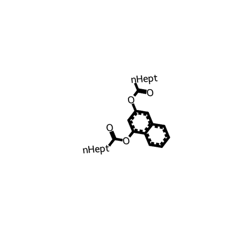 CCCCCCCC(=O)Oc1cc(OC(=O)CCCCCCC)c2ccccc2c1